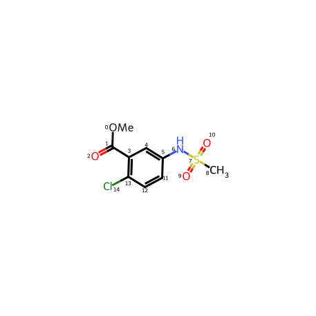 COC(=O)c1cc(NS(C)(=O)=O)ccc1Cl